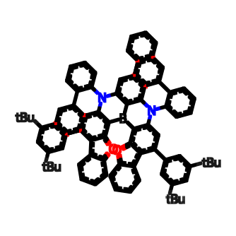 CC(C)(C)c1cc(-c2cc3c(c4oc5ccccc5c24)B2c4c(cc(-c5ccccc5)cc4N(c4ccccc4-c4ccccc4)c4cc(-c5cc(C(C)(C)C)cc(C(C)(C)C)c5)c5c(oc6ccccc65)c42)N3c2ccccc2-c2ccccc2)cc(C(C)(C)C)c1